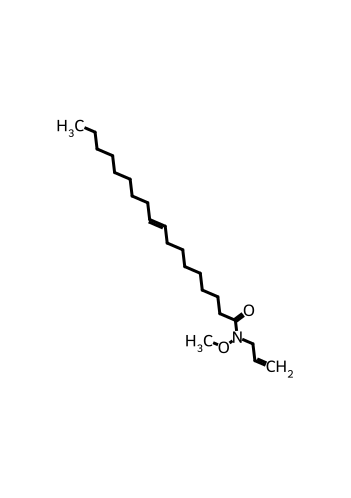 C=CCN(OC)C(=O)CCCCCCCC=CCCCCCCCC